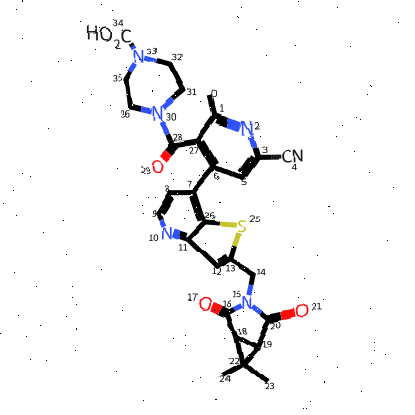 Cc1nc(C#N)cc(-c2ccnc3cc(CN4C(=O)C5C(C4=O)C5(C)C)sc23)c1C(=O)N1CCN(C(=O)O)CC1